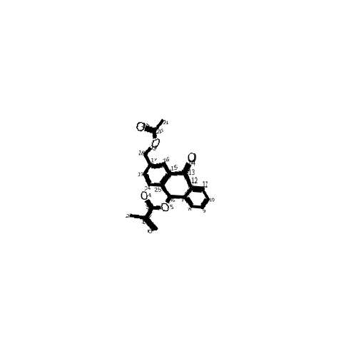 C=C(C)C(=O)OC1c2ccccc2C(=O)c2cc(COC(C)=O)ccc21